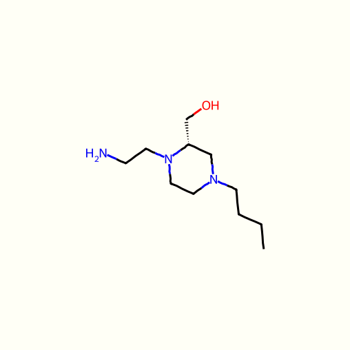 CCCCN1CCN(CCN)[C@H](CO)C1